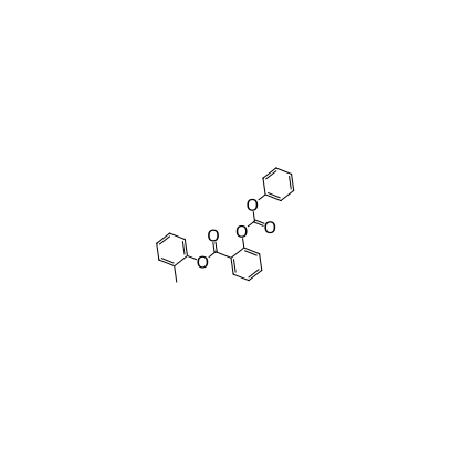 Cc1ccccc1OC(=O)c1ccccc1OC(=O)Oc1ccccc1